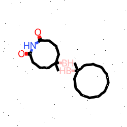 CC1(BBC2(C)CCCC(=O)NC(=O)CCC2)CCCCCCCCCCC1